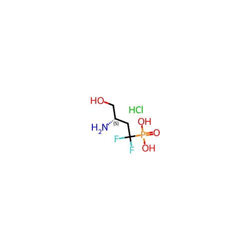 Cl.N[C@H](CO)CC(F)(F)P(=O)(O)O